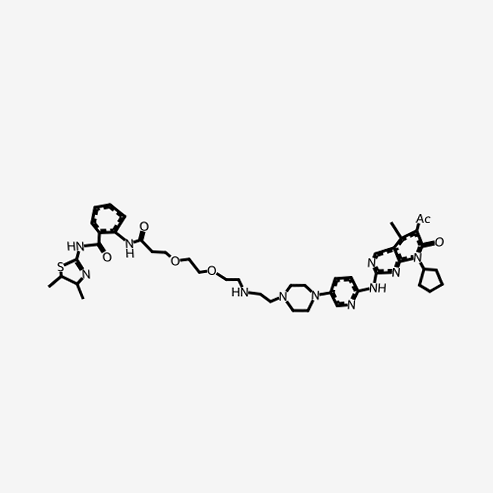 CC(=O)c1c(C)c2cnc(Nc3ccc(N4CCN(CCNCCOCCOCCC(=O)Nc5ccccc5C(=O)NC5=NC(C)C(C)S5)CC4)cn3)nc2n(C2CCCC2)c1=O